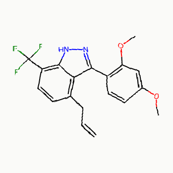 C=CCc1ccc(C(F)(F)F)c2[nH]nc(-c3ccc(OC)cc3OC)c12